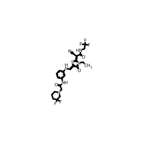 CCn1c(=C(C#N)C(=O)NCC(F)(F)F)sc(=CNc2cccc(NC(=O)CN3CCCC(F)(F)C3)c2)c1=O